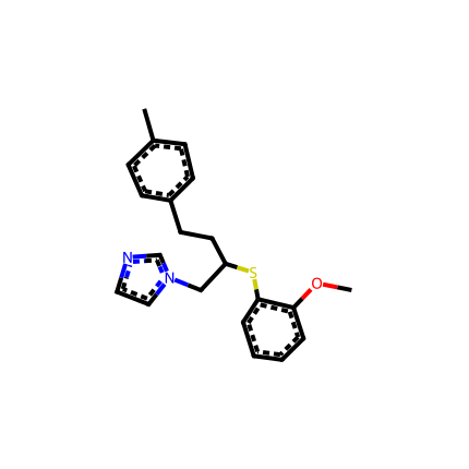 COc1ccccc1SC(CCc1ccc(C)cc1)Cn1ccnc1